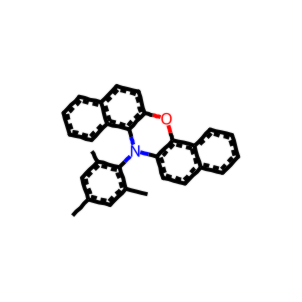 Cc1cc(C)c(N2c3ccc4ccccc4c3Oc3ccc4ccccc4c32)c(C)c1